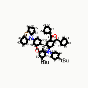 CC(C)(C)c1ccc(N2c3cc4c(-c5ccccc5)oc(-c5ccccc5)c4cc3B3c4ccc(N5c6ccccc6Sc6ccccc65)cc4Oc4cc(C(C)(C)C)cc2c43)cc1